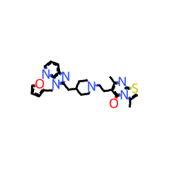 Cc1nc2scc(C)n2c(=O)c1CCN1CCC(Cc2nc3cccnc3n2Cc2ccco2)CC1